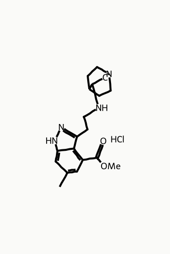 COC(=O)c1cc(C)cc2[nH]nc(CCNC3CN4CCC3CC4)c12.Cl